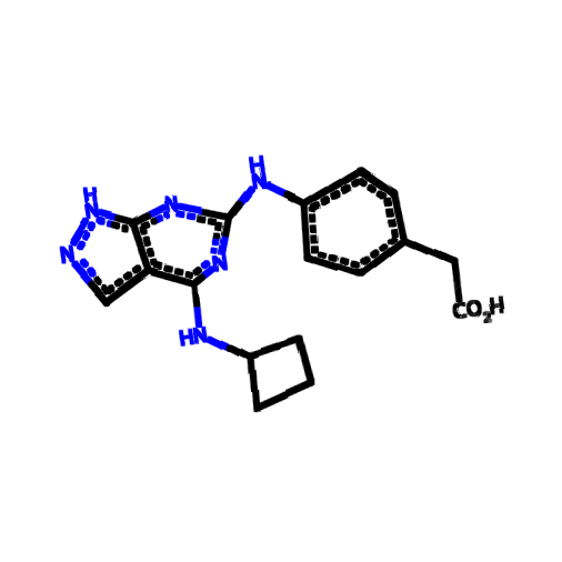 O=C(O)Cc1ccc(Nc2nc(NC3CCC3)c3cn[nH]c3n2)cc1